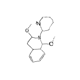 COC1CC2C=CC=CC2C(OC)N1C1CCCC[N]1